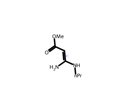 CCCN/C(N)=C/C(=O)OC